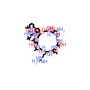 CC[C@H](C)[C@@H]1NC(=O)[C@@H](CCCNC(=N)N)NC(=O)[C@H](CC(C)C)NC(=O)[C@H]([C@H](O)C(C)C)NC(=O)[C@@H](NC(=O)C(Cc2ccccn2)NC(=O)[C@@H](CC(C)(C)C)NC(=O)OC(C)(C)C)[C@@H](c2ccccc2)OC(=O)[C@H](CO)NC(=O)[C@H]([C@H](O)C(N)=O)NC(=O)CNC(=O)[C@H]([C@H](C)O)NC1=O